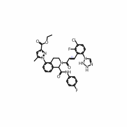 CCOC(=O)c1cc(C)n(-c2cccc3c2CCN(C(=O)/C=C/c2c(N4C=NNN4)ccc(Cl)c2F)C3C(=O)Nc2ccc(F)cc2)n1